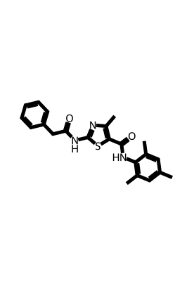 Cc1cc(C)c(NC(=O)c2sc(NC(=O)Cc3ccccc3)nc2C)c(C)c1